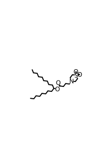 CCCCCCCCCC(CCCCCCCC)OC(=O)CCCN1CCS(=O)(=O)CC1